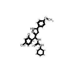 COc1ccc(C2CC(C(NC(=S)NC3CCCCC3)c3ccc(Cl)cc3Cl)=NN2)cc1